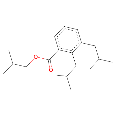 CC(C)COC(=O)c1cccc(CC(C)C)c1CC(C)C